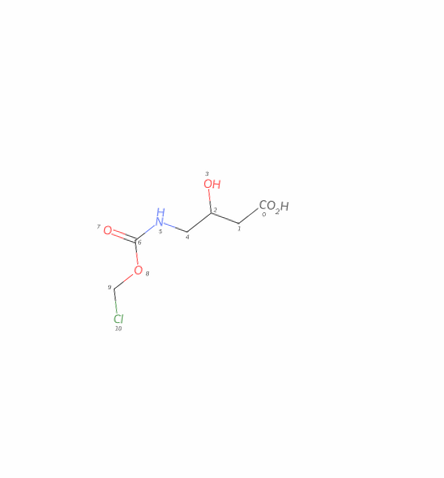 O=C(O)CC(O)CNC(=O)OCCl